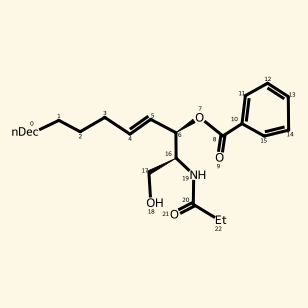 CCCCCCCCCCCCC/C=C/[C@@H](OC(=O)c1ccccc1)[C@H](CO)NC(=O)CC